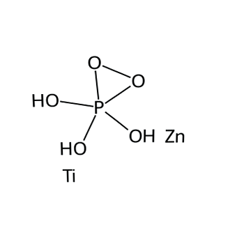 OP1(O)(O)OO1.[Ti].[Zn]